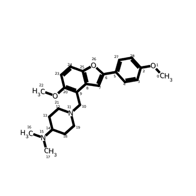 COc1ccc(-c2cc3c(CN4CCC(N(C)C)CC4)c(OC)ccc3o2)cc1